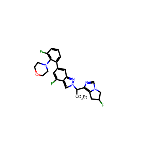 CCOC(=O)C(c1ncn2c1CC(F)C2)n1cc2c(F)cc(-c3cccc(F)c3N3CCOCC3)cc2n1